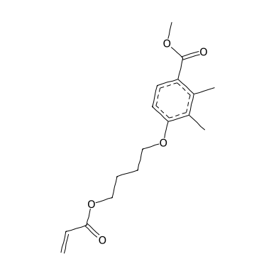 C=CC(=O)OCCCCOc1ccc(C(=O)OC)c(C)c1C